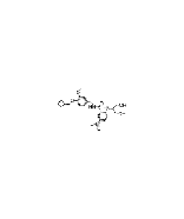 COc1cc(CNC(=O)c2cc([N+](=O)[O-])ccc2NC(CO)CO)ccc1OCC1CCC1